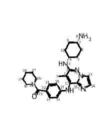 Cc1c(N[C@H]2CC[C@@H](N)CC2)nn2ccnc2c1Nc1ccc(C(=O)N2CCCCC2)cc1